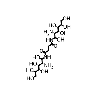 N[C@H](C(O)NC(=O)CCC(=O)NC(O)[C@@H](N)[C@@H](O)[C@H](O)[C@H](O)CO)[C@@H](O)[C@H](O)[C@H](O)CO